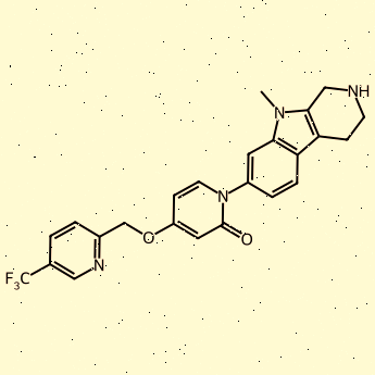 Cn1c2c(c3ccc(-n4ccc(OCc5ccc(C(F)(F)F)cn5)cc4=O)cc31)CCNC2